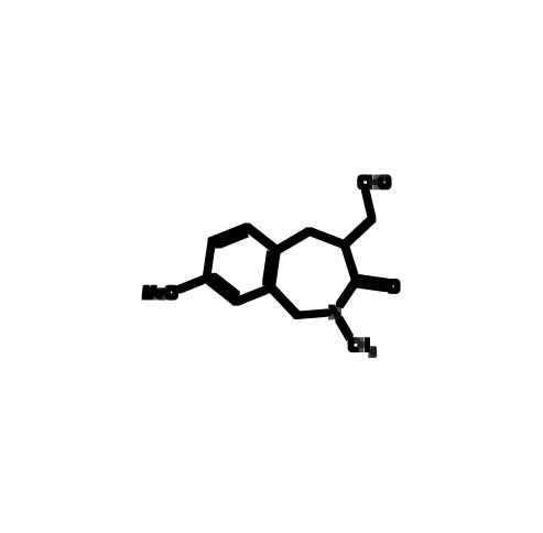 COc1ccc2c(c1)CN(C)C(=O)C(CC=O)C2